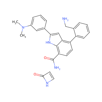 CN(C)c1cccc(-c2cc3c(-c4ccccc4CN)ccc(C(N)=O)c3[nH]2)c1.O=C1C=CN1